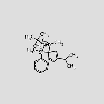 CC(C)C1=CC(C(C)C)([Si](C)(NC(C)(C)C)c2ccccc2)C=C1